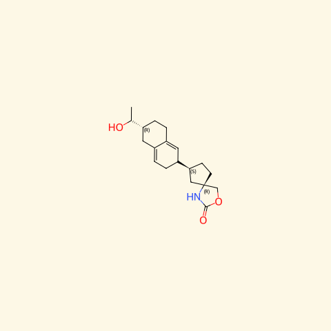 CC(O)[C@@H]1CCC2=CC([C@H]3CC[C@]4(COC(=O)N4)C3)CC=C2C1